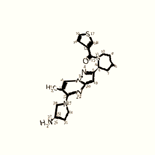 Cc1cn2nc([C@@H]3CCCCN3C(=O)c3ccsc3)cc2nc1N1CC[C@H](N)C1